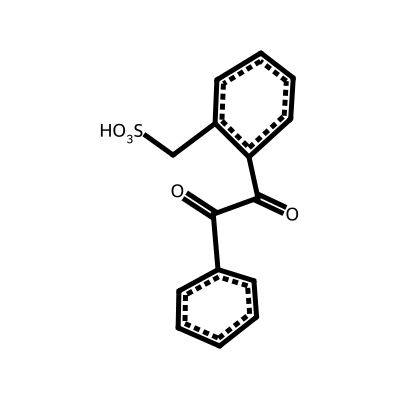 O=C(C(=O)c1ccccc1CS(=O)(=O)O)c1ccccc1